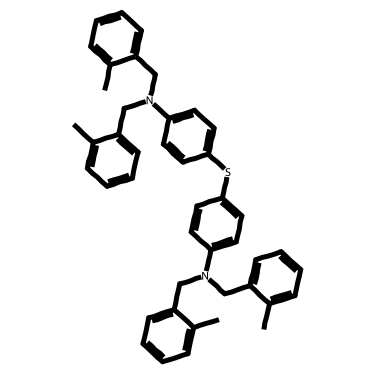 Cc1ccccc1CN(Cc1ccccc1C)c1ccc(Sc2ccc(N(Cc3ccccc3C)Cc3ccccc3C)cc2)cc1